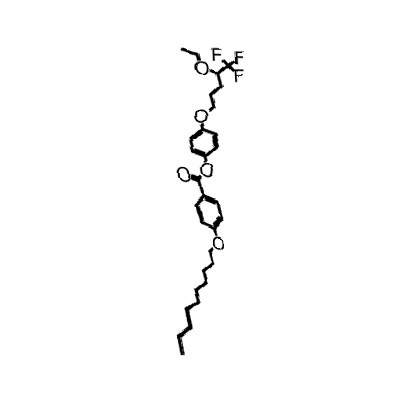 CCCCCCCCCCOc1ccc(C(=O)Oc2ccc(OCCCC(OCC)C(F)(F)F)cc2)cc1